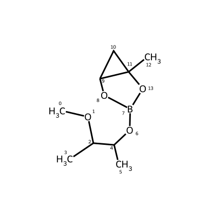 COC(C)C(C)OB1OC2CC2(C)O1